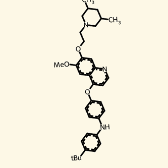 COc1cc2c(Oc3ccc(Nc4ccc(C(C)(C)C)cc4)cc3)ccnc2cc1OCCN1CC(C)CC(C)C1